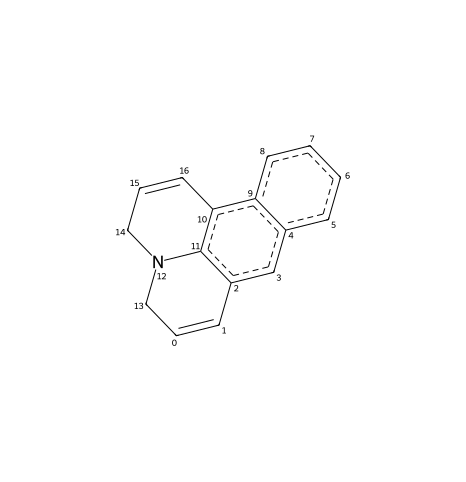 C1=Cc2cc3ccccc3c3c2N(C1)CC=C3